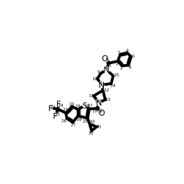 O=C(c1ccccc1)N1CCN(C2CN(C(=O)c3sc4cc(C(F)(F)F)ccc4c3C3CC3)C2)CC1